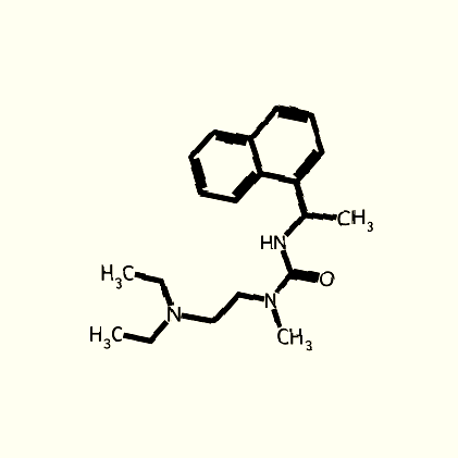 CCN(CC)CCN(C)C(=O)NC(C)c1cccc2ccccc12